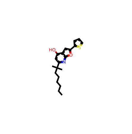 CCCCCCC(C)(C)c1cc(O)c2cc(-c3cccs3)oc2n1